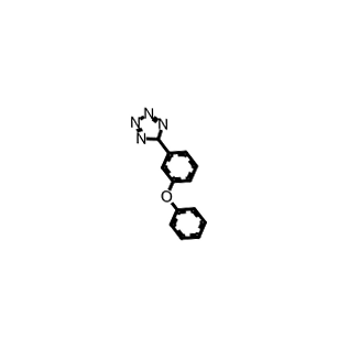 c1ccc(Oc2cccc(C3N=NN=N3)c2)cc1